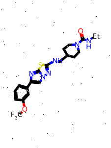 CCNC(=O)N1CCC(CNc2nn3cc(-c4cccc(OC(F)(F)F)c4)nc3s2)CC1